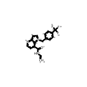 C=CNC(=O)c1ccnc2ccn(Cc3ccc(C(F)(F)F)cc3)c12